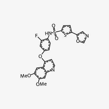 COc1cc2nccc(Oc3ccc(NS(=O)(=O)c4ccc(-c5cnco5)s4)c(F)c3)c2cc1OC